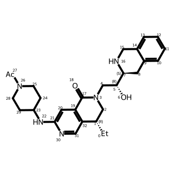 CC[C@H]1CN(C[C@@H](O)[C@@H]2Cc3ccccc3CN2)C(=O)c2cc(NC3CCN(C(C)=O)CC3)ncc21